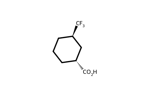 O=C(O)[C@@H]1CCC[C@@H](C(F)(F)F)C1